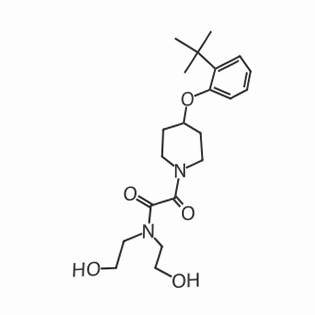 CC(C)(C)c1ccccc1OC1CCN(C(=O)C(=O)N(CCO)CCO)CC1